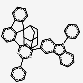 c1ccc(-c2nc(-c3ccc4c(c3)c3ccccc3n4-c3ccccc3)nc(-c3cccc4c3C3(c5ccccc5-4)C4CC5CC(C4)CC3C5)n2)cc1